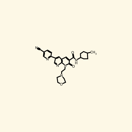 CC1CCC(NC(=O)c2cc3cc(-c4ccc(C#N)cn4)cnc3n(CCN3CCOCC3)c2=O)CC1